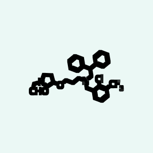 O=CCN1CCC(OCCCN(Cc2cccc(C(F)(F)F)c2Cl)CC(c2ccccc2)c2ccccc2)C1